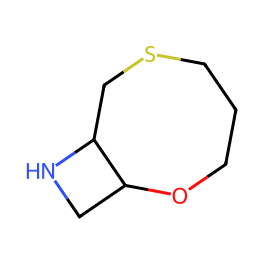 C1COC2CNC2CSC1